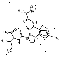 CCC(C)C(NC(=O)[C@@H]1CC[C@H](c2ccc(C)o2)N1C(=O)C(NC(=O)C(C)NC)C1CCCCC1)C(=O)O